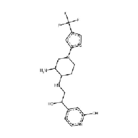 NC1CN(c2cc(C(F)(F)F)cs2)CCC1NCC(O)c1ccnc(O)c1